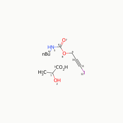 CC(O)C(=O)O.CCCCNC(=O)OCC#CI